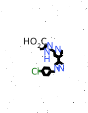 Cc1[nH]c(-c2cc(-c3cnn(Cc4ccc(Cl)cc4)c3)ccn2)nc1C(=O)O